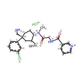 CC(=O)NC1C[C@](CN)(c2cccc(Cl)c2)CC[C@@H]1N(C)C(=O)CNC(=O)c1cccnc1.Cl